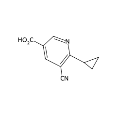 N#Cc1cc(C(=O)O)cnc1C1CC1